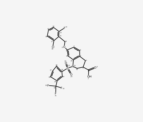 O=C(O)C1Cc2ccc(OCc3c(F)cccc3Cl)cc2N(S(=O)(=O)c2cccc(C(F)(F)F)c2)C1